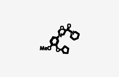 COc1ccc(N2COC(C(=O)N3CCCCC3)C2)cc1OC1CCCC1